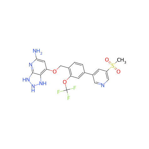 CS(=O)(=O)c1cncc(-c2ccc(COc3cc(N)nc4c3NNN4)c(OC(F)(F)F)c2)c1